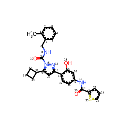 Cc1ccccc1CNC(=O)n1nc(-c2ccc(NC(=O)c3cccs3)cc2O)cc1C1CCC1